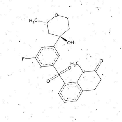 C[C@H]1C[C@@](O)(c2cc(F)cc(S(=O)(=O)c3cccc4c3N(C)C(=O)CC4)c2)CCO1